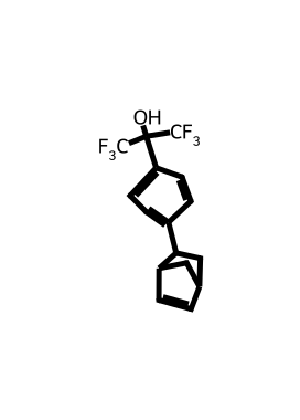 OC(c1ccc(C2CC3C=CC2C3)cc1)(C(F)(F)F)C(F)(F)F